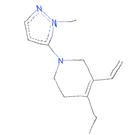 C=CC1=C(CC)CCN(c2ccnn2C)C1